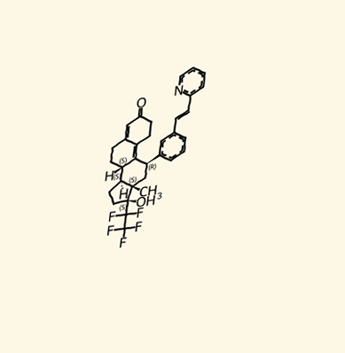 C[C@]12C[C@H](c3cccc(C=Cc4ccccn4)c3)C3=C4CCC(=O)C=C4CC[C@H]3[C@@H]1CC[C@@]2(O)C(F)(F)C(F)(F)F